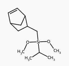 CO[Si](CC1CC2C=CC1C2)(OC)C(C)C